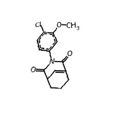 COc1cc(N2C(=O)C3=CC(CCC3)C2=O)ccc1Cl